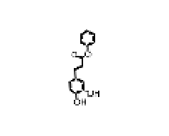 O=C(/C=C/c1ccc(O)c(O)c1)Oc1ccccc1